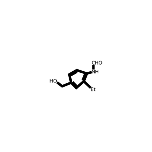 CCc1cc(CO)ccc1NC=O